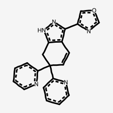 C1=CC(c2ccccn2)(c2ccccn2)Cc2[nH]nc(-c3cocn3)c21